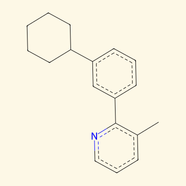 Cc1cccnc1-c1cccc(C2CCCCC2)c1